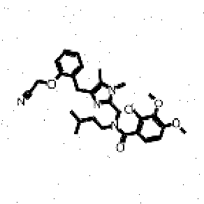 COc1ccc(C(=O)N(CCC(C)C)Cc2nc(Cc3ccccc3OCC#N)c(C)n2C)c(Cl)c1OC